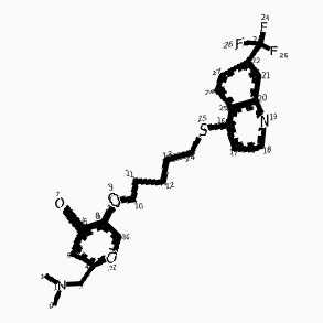 CN(C)Cc1cc(=O)c(OCCCCCSc2ccnc3cc(C(F)(F)F)ccc23)co1